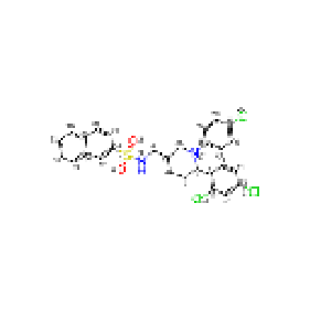 O=S(=O)(NCC1CCC(c2ccc(Cl)cc2Cl)N(c2ccc(Cl)cc2)C1)c1ccc2ccccc2c1